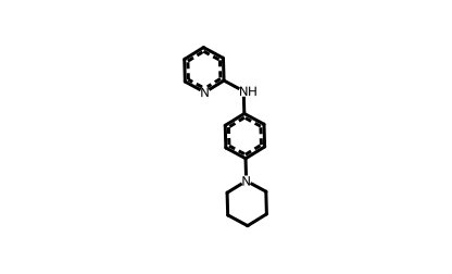 c1ccc(Nc2ccc(N3CCCCC3)cc2)nc1